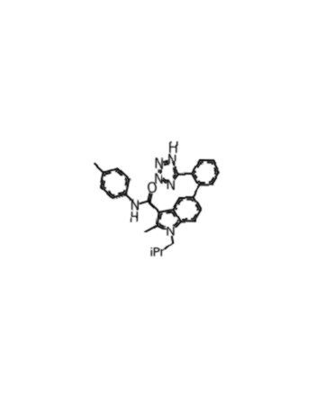 Cc1ccc(NC(=O)c2c(C)n(CC(C)C)c3ccc(-c4ccccc4-c4nnn[nH]4)cc23)cc1